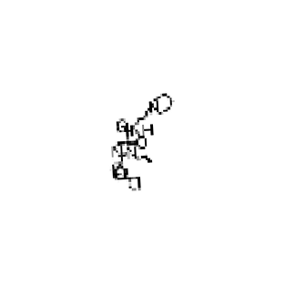 C=CCn1c(-c2cccc(Cl)c2)ncc(C(=O)NCCCN2CCCCC2)c1=O